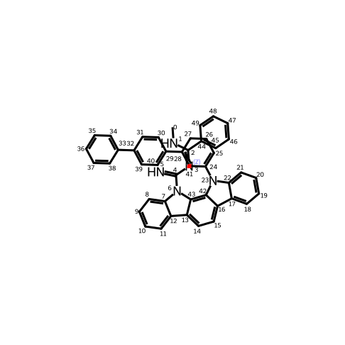 CN/C(=N\C(=N)n1c2ccccc2c2ccc3c4ccccc4n(C4=CCCC(c5ccc(-c6ccccc6)cc5)=C4)c3c21)c1ccccc1